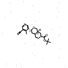 Cc1c(C#N)cncc1[C@H]1CN2CCN(C(=O)OC(C)(C)C)C[C@H]2CO1